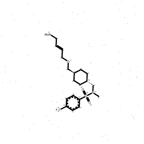 CNC/C=C/COC[C@H]1CC[C@H](CN(C)S(=O)(=O)c2ccc(C(F)(F)F)cc2)CC1